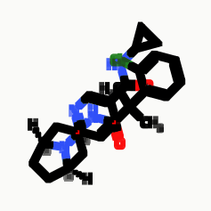 CC(C)(C(=O)N[C@H]1C[C@H]2CC[C@@H](C1)N2c1ccc(C(=O)NC2CC2)cn1)c1ccccc1Cl